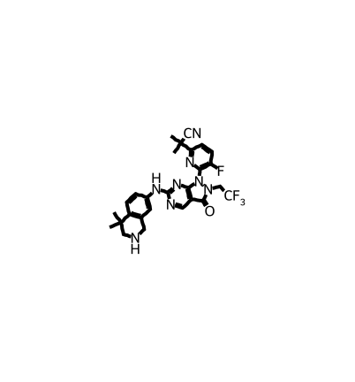 CC(C)(C#N)c1ccc(F)c(-n2c3nc(Nc4ccc5c(c4)CNCC5(C)C)ncc3c(=O)n2CC(F)(F)F)n1